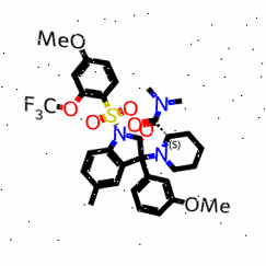 COc1cccc(C2(N3CCCC[C@H]3C(=O)N(C)C)C(=O)N(S(=O)(=O)c3ccc(OC)cc3OC(F)(F)F)c3ccc(C)cc32)c1